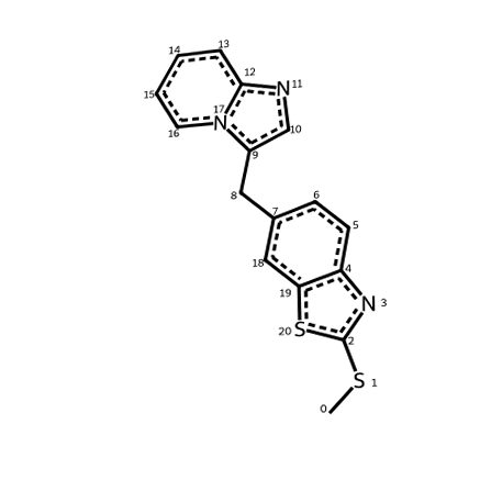 CSc1nc2ccc(Cc3cnc4ccccn34)cc2s1